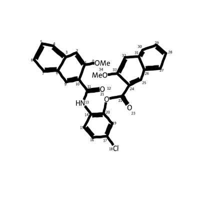 COc1cc2ccccc2cc1C(=O)Nc1ccc(Cl)cc1OC(=O)c1cc2ccccc2cc1OC